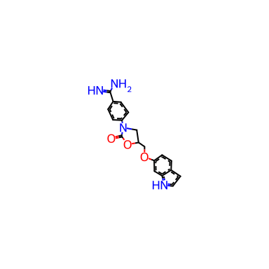 N=C(N)c1ccc(N2CC(COc3ccc4cc[nH]c4c3)OC2=O)cc1